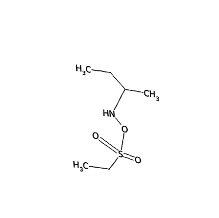 CCC(C)NOS(=O)(=O)CC